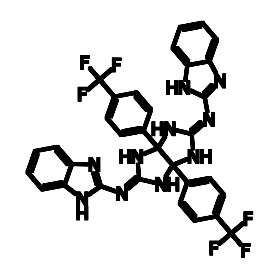 FC(F)(F)c1ccc(C23NC(=Nc4nc5ccccc5[nH]4)NC2(c2ccc(C(F)(F)F)cc2)NC(=Nc2nc4ccccc4[nH]2)N3)cc1